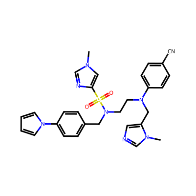 Cn1cnc(S(=O)(=O)N(CCN(Cc2cncn2C)c2ccc(C#N)cc2)Cc2ccc(-n3cccc3)cc2)c1